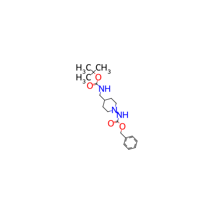 CC(C)(C)OC(=O)NCC1CCN(NC(=O)OCc2ccccc2)CC1